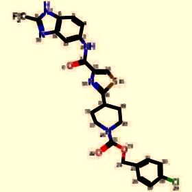 O=C(Nc1ccc2[nH]c(C(F)(F)F)nc2c1)c1csc(C2CCN(C(=O)OCc3ccc(Cl)cc3)CC2)n1